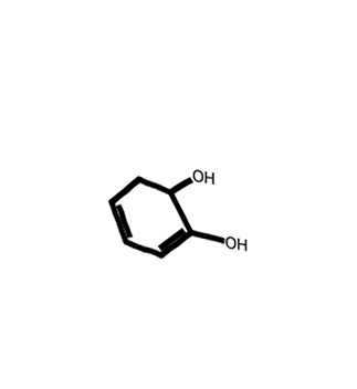 OC1=CC=CCC1O